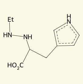 CCNNC(Cc1cc[nH]c1)C(=O)O